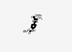 COC(=O)c1nc(-c2ccc(NC(=O)OC(C)(C)C)cc2)sc1C